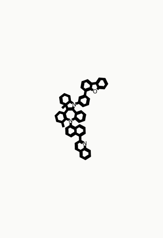 CC1CCCC2=C1N(c1cccc3c(-c4ccc5ccccc5n4)cccc13)c1ccccc1C1=C2C2(C)C=CCCC2N1c1cccc(-c2cccc3c2oc2ccccc23)c1